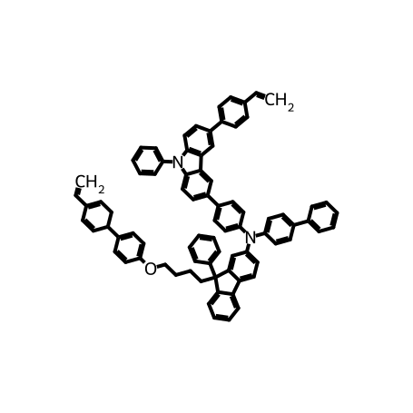 C=CC1=CCC(c2ccc(OCCCCC3(c4ccccc4)c4ccccc4-c4ccc(N(c5ccc(-c6ccccc6)cc5)c5ccc(-c6ccc7c(c6)c6cc(-c8ccc(C=C)cc8)ccc6n7-c6ccccc6)cc5)cc43)cc2)C=C1